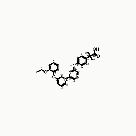 CCOc1ccccc1OC1=CC=CN(c2cncc(Nc3ccc(C(C)(C)C(=O)O)cc3)n2)C1